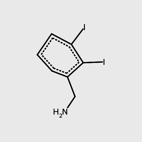 NCc1cccc(I)c1I